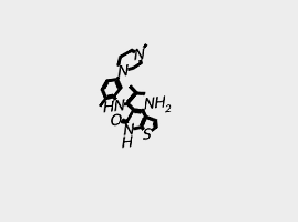 CC(C)=C(Nc1cc(N2CCCN(C)CC2)ccc1C)c1c(N)c2ccsc2[nH]c1=O